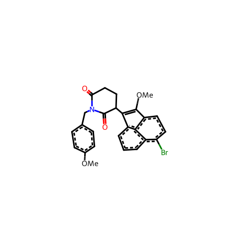 COC1=C(C2CCC(=O)N(Cc3ccc(OC)cc3)C2=O)c2cccc3c(Br)ccc1c23